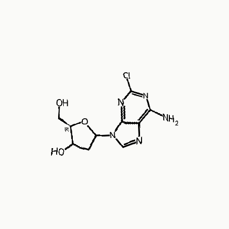 Nc1nc(Cl)nc2c1ncn2C1CC(O)[C@@H](CO)O1